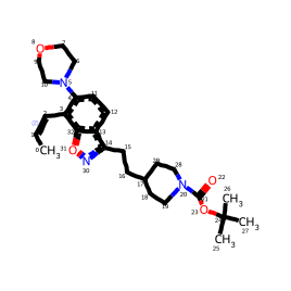 C/C=C\c1c(N2CCOCC2)ccc2c(CCC3CCN(C(=O)OC(C)(C)C)CC3)noc12